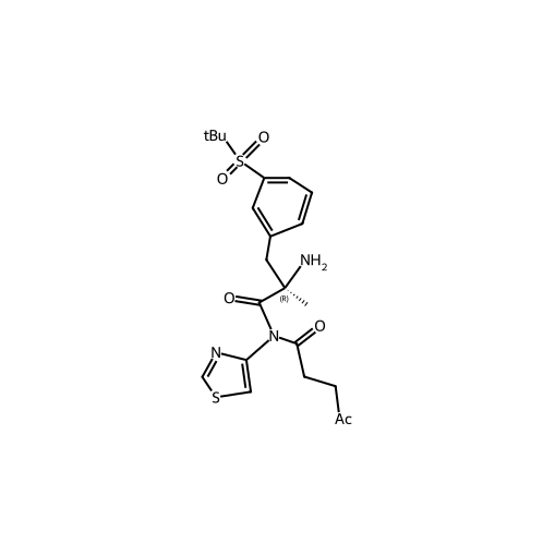 CC(=O)CCC(=O)N(C(=O)[C@](C)(N)Cc1cccc(S(=O)(=O)C(C)(C)C)c1)c1cscn1